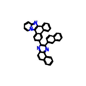 c1ccc2cc(-c3nc4c(ccc5ccccc54)nc3-c3ccc4c(c3)c3ccccc3c3nc5ccccn5c43)ccc2c1